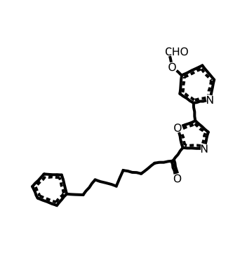 O=COc1ccnc(-c2cnc(C(=O)CCCCCCc3ccccc3)o2)c1